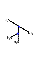 CCCCCCCCCCCCN(CCCCCCCCCCCC)CCCCCCN(CCCCCCCC)CCCCCCCC